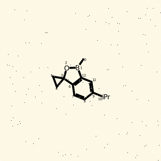 CB1OC2(CC2)c2ccc(C(C)C)cc21